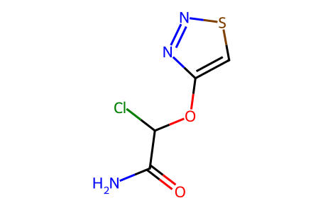 NC(=O)C(Cl)Oc1csnn1